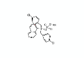 CCOP(=O)(CC)OC(Cc1ccc(Cl)cc1)(Cc1ccc(Cl)cc1)c1cccc2ccccc12